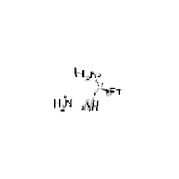 CCC(N)NN